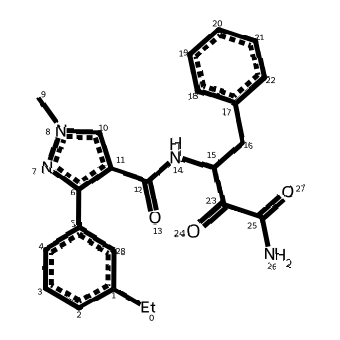 CCc1cccc(-c2nn(C)cc2C(=O)NC(Cc2ccccc2)C(=O)C(N)=O)c1